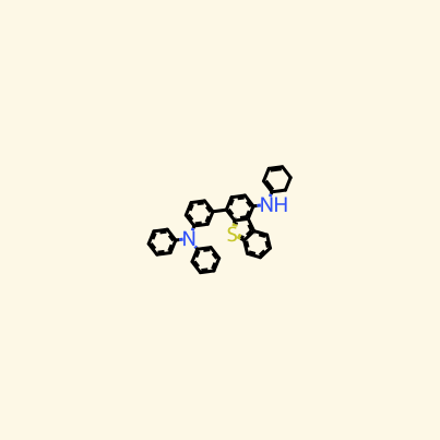 C1=CCCC(Nc2ccc(-c3cccc(N(c4ccccc4)c4ccccc4)c3)c3sc4ccccc4c23)=C1